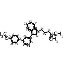 COc1ccc(-c2cncc(-c3cn(CCCN(C)C)c4cccnc34)c2)cc1